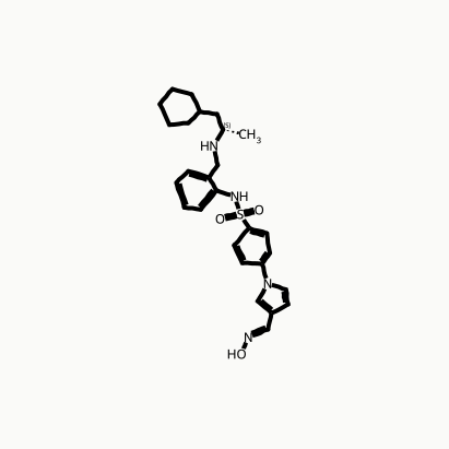 C[C@@H](CC1CCCCC1)NCc1ccccc1NS(=O)(=O)c1ccc(-n2ccc(C=NO)c2)cc1